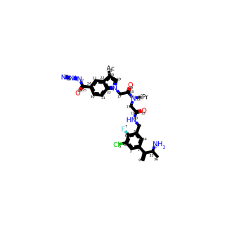 C=C(c1cc(Cl)c(F)c(CNC(=O)CN(C(=O)Cn2cc(C(C)=O)c3cc(C(=O)N=[N+]=[N-])ccc32)C(C)C)c1)C(C)N